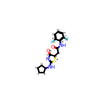 O=C(CC1SC(NC2CCCC2)=NC1=O)Nc1c(F)cccc1F